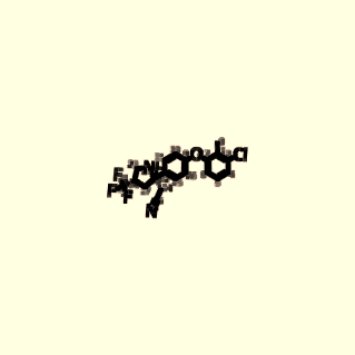 Cc1c(Cl)cccc1Oc1ccc([C@@]2(CC#N)C[C@H](C(F)(F)F)CN2)cc1